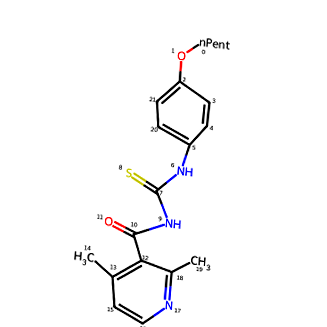 CCCCCOc1ccc(NC(=S)NC(=O)c2c(C)ccnc2C)cc1